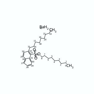 CCCCCCCCCOS(=O)(=O)c1c(CCCCCCCCC)ccc2ccccc12.[BaH2]